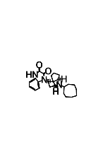 O=c1[nH]c2ccccc2n([C@@H]2C[C@H]3N(C4CCCCCCC4)[C@@H]4CCCC432)c1=O